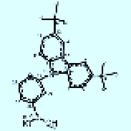 CC(C)(C)c1ccc2c(c1)c1cc(C(C)(C)C)ccc1n2-c1cccc(B(O)O)c1